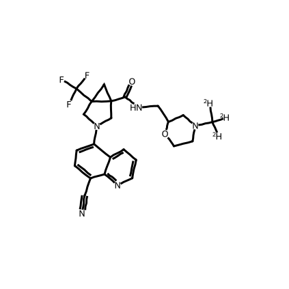 [2H]C([2H])([2H])N1CCOC(CNC(=O)C23CN(c4ccc(C#N)c5ncccc45)CC2(C(F)(F)F)C3)C1